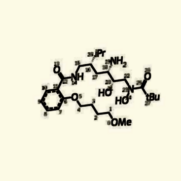 COCCCCOc1ccccc1C(=O)NC[C@@H](C[C@H](N)[C@@H](O)CN(O)C(=O)C(C)(C)C)C(C)C